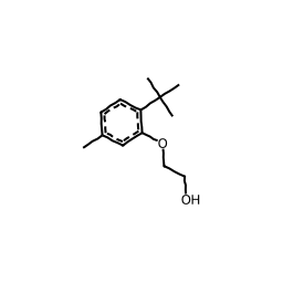 Cc1ccc(C(C)(C)C)c(OCCO)c1